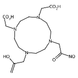 C=C(O)CN1CCN(CC(=O)O)CCN(CC(=O)O)CCN(CC(=O)N=O)CC1